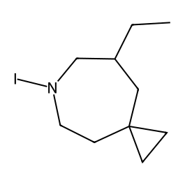 CCC1CN(I)CCC2(CC2)C1